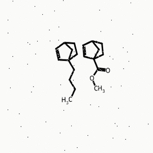 CCCCC12C=CC(CC1)C2.COC(=O)C12C=CC(CC1)C2